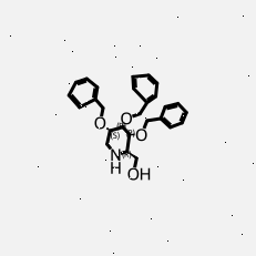 OC[C@H]1NC[C@H](OCc2ccccc2)[C@@H](OCc2ccccc2)[C@@H]1OCc1ccccc1